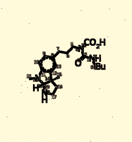 CCC(C)NC(=O)N(CCCc1ccc2c(c1)[C@]1(C)CCN[C@@H]1N2C)C(=O)O